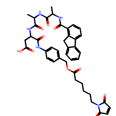 CC(NC(=O)c1cccc2c1Cc1ccccc1-2)C(=O)NC(C)C(=O)NC(CC(=O)O)C(=O)Nc1ccc(COC(=O)CCCCCN2C(=O)C=CC2=O)cc1